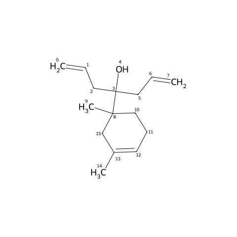 C=CCC(O)(CC=C)C1(C)CCC=C(C)C1